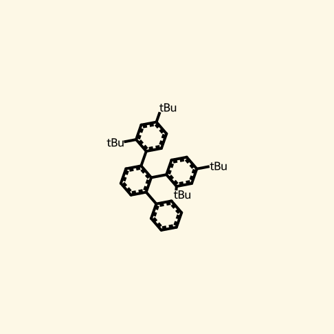 CC(C)(C)c1ccc(-c2cccc(-c3ccccc3)c2-c2ccc(C(C)(C)C)cc2C(C)(C)C)c(C(C)(C)C)c1